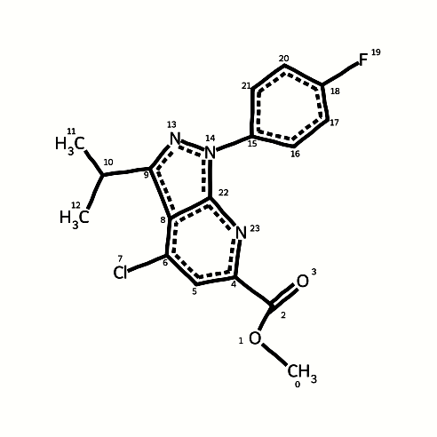 COC(=O)c1cc(Cl)c2c(C(C)C)nn(-c3ccc(F)cc3)c2n1